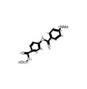 CCCCCCCCOC(=O)c1ccc(OC(=O)c2ccc(NC)cc2)cc1